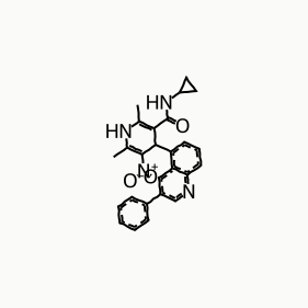 CC1=C(C(=O)NC2CC2)C(c2cccc3ncc(-c4ccccc4)cc23)C([N+](=O)[O-])=C(C)N1